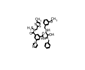 COc1cccc(CNC[C@@H](O)[C@H](Cc2ccccc2)NC(=O)c2cc(C(=O)N(C)Cc3nc(C)cs3)cc(-n3ccnc3)c2)c1